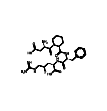 N=C(N)NCC(F)C[C@H](NC(=O)[C@@H](Cc1ccccc1)NC(=O)[C@@H]1CCCCN1C(=O)[C@@H](N)CC(=O)O)C(=O)O